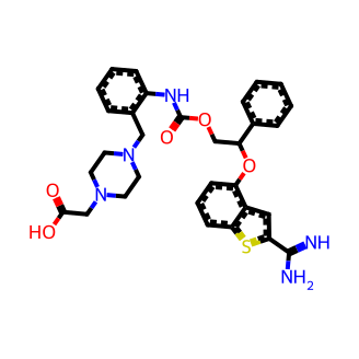 N=C(N)c1cc2c(OC(COC(=O)Nc3ccccc3CN3CCN(CC(=O)O)CC3)c3ccccc3)cccc2s1